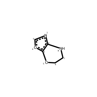 c1nc2c(o1)OCCN2